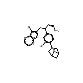 N#Cc1cc(C(/C=C\N)Cc2sc3nccnc3c2N)ccc1N1CC2CC(C1)N2